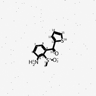 C[S+]([O-])c1c(N)cccc1C(=O)c1cccs1